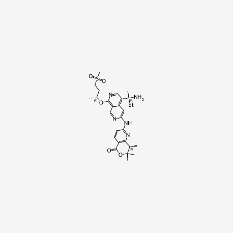 CC[C@@](C)(N)c1cnc(O[C@H](C)CCS(C)(=O)=O)c2cnc(Nc3ccc4c(n3)[C@@H](C)C(C)(C)OC4=O)cc12